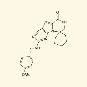 COc1ccc(CNc2ncc3cc4n(c3n2)C2(CCCCC2)CNC4=O)cc1